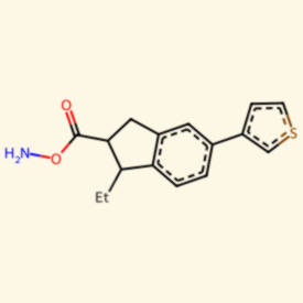 CCC1c2ccc(-c3ccsc3)cc2CC1C(=O)ON